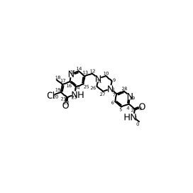 CNC(=O)c1ccc(N2CCN(Cc3cnc4c(C)c(Cl)c(=O)[nH]c4c3)CC2)cn1